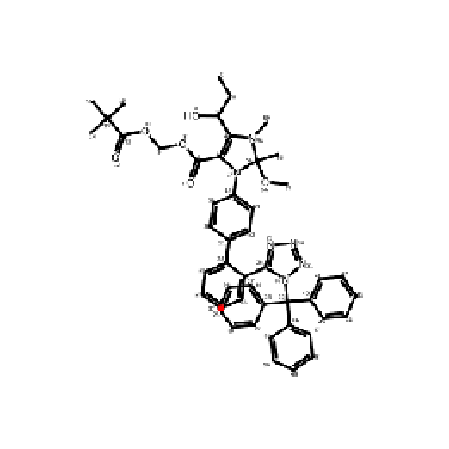 CCC(O)C1=C(C(=O)OCOC(=O)C(C)(C)C)N(c2ccc(-c3ccccc3-c3nnnn3C(c3ccccc3)(c3ccccc3)c3ccccc3)cc2)C(C)(OC)N1C